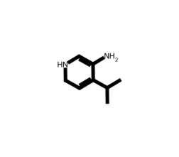 CC(C)C1=CCNC=C1N